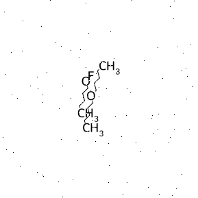 CCCCCOCCCCC.CCCCCOF